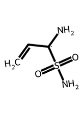 C=C[C](N)S(N)(=O)=O